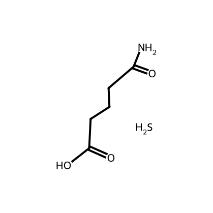 NC(=O)CCCC(=O)O.S